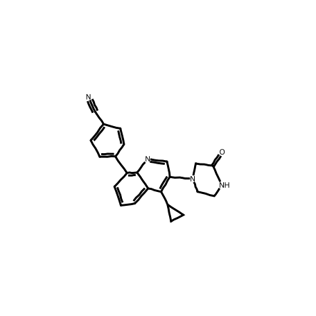 N#Cc1ccc(-c2cccc3c(C4CC4)c(N4CCNC(=O)C4)cnc23)cc1